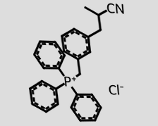 CC(C#N)Cc1cccc(C[P+](c2ccccc2)(c2ccccc2)c2ccccc2)c1.[Cl-]